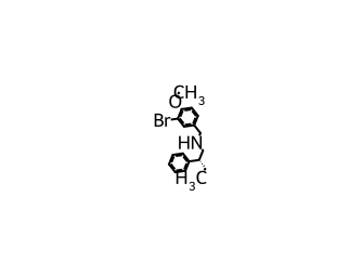 CC[C@@H](CNCc1ccc(OC)c(Br)c1)c1ccccc1